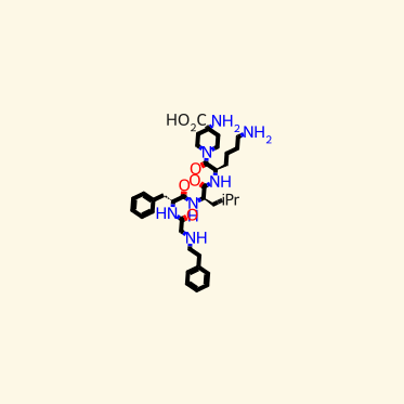 CC(C)C[C@@H](NC(=O)[C@@H](Cc1ccccc1)NC(=O)CNCCc1ccccc1)C(=O)N[C@H](CCCCN)C(=O)N1CCC(N)(C(=O)O)CC1